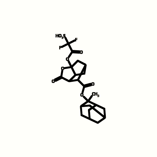 CC1(OC(=O)C2C3CC4C2C(=O)OC4(OC(=O)C(F)(F)S(=O)(=O)O)C3)C2CC3CC(C2)CC1C3